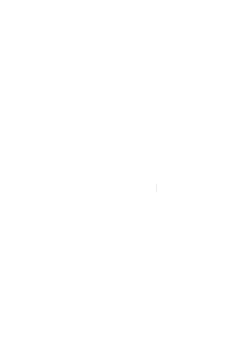 CCCC(Br)(C=O)CCC